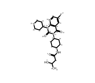 CC(O)CC(=O)N[C@H]1CC[C@@H](n2c(=O)c3cc(F)cnc3n(C3CCSCC3)c2=O)CC1